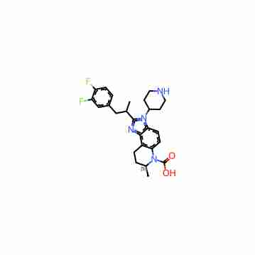 CC(Cc1ccc(F)c(F)c1)c1nc2c3c(ccc2n1C1CCNCC1)N(C(=O)O)[C@@H](C)CC3